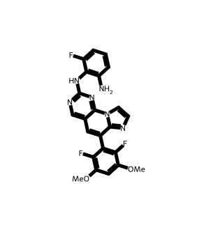 COc1cc(OC)c(F)c(-c2cc3cnc(Nc4c(N)cccc4F)nc3n3ccnc23)c1F